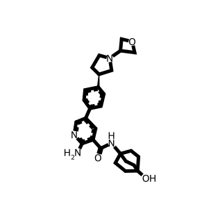 Nc1ncc(-c2ccc([C@H]3CCN(C4COC4)C3)cc2)cc1C(=O)NC12CCC(O)(CC1)CC2